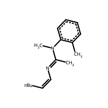 CCCC/C=C\N=C(/C)N(C)c1ccccc1C